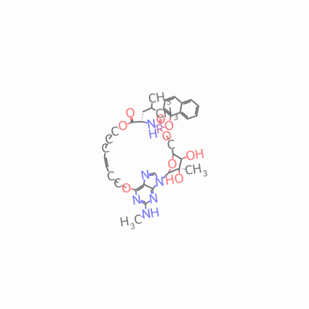 CNc1nc2c3ncn(c3n1)C1OC(COP(=O)(Oc3cccc4ccccc34)N[C@@H](CC(C)C)C(=O)OCCCC=CCCO2)[C@@H](O)[C@@]1(C)O